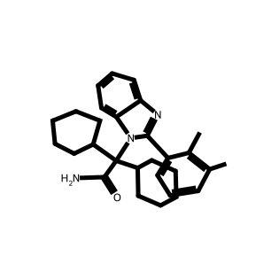 Cc1cccc(-c2nc3ccccc3n2C(C(N)=O)(C2CCCCC2)C2CCCCC2)c1C